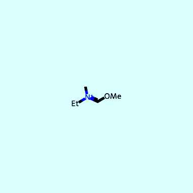 CC/[N+](C)=C/OC